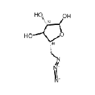 [N-]=[N+]=NC[C@H]1OC(O)[C@@H](O)C1O